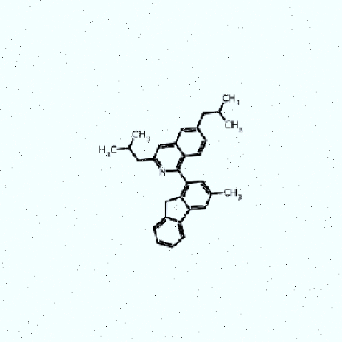 Cc1cc2c(c(-c3nc(CC(C)C)cc4cc(CC(C)C)ccc34)c1)Cc1ccccc1-2